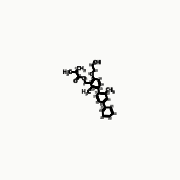 C=C(C)C(=O)OCc1c(OCCO)ccc(-c2ccc(-c3ccccc3)cc2C)c1C